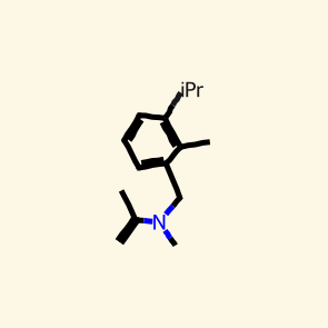 C=C(C)N(C)Cc1cccc(C(C)C)c1C